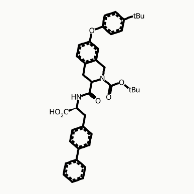 CC(C)(C)OC(=O)N1Cc2cc(Oc3ccc(C(C)(C)C)cc3)ccc2CC1C(=O)N[C@@H](Cc1ccc(-c2ccccc2)cc1)C(=O)O